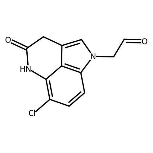 O=CCn1cc2c3c(c(Cl)ccc31)NC(=O)C2